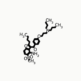 CCCCc1oc2ccc(S(C)(=O)=O)c(N)c2c1C(=O)c1ccc(OCCCN(CCCC)CCCC)cc1